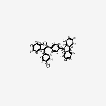 Clc1ccc(-c2c(-c3ccc(-n4c5ccccc5c5ccccc54)cc3)oc3ccccc23)cc1